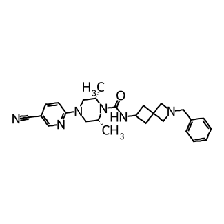 C[C@@H]1CN(c2ccc(C#N)cn2)C[C@H](C)N1C(=O)NC1CC2(C1)CN(Cc1ccccc1)C2